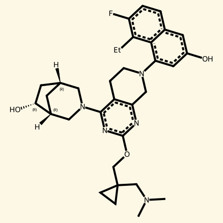 CCc1c(F)ccc2cc(O)cc(N3CCc4c(nc(OCC5(CN(C)C)CC5)nc4N4C[C@@H]5C[C@H](C4)[C@H](O)C5)C3)c12